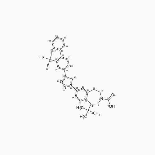 CC(C)(C)C1CN(C(=O)O)CCc2cc(-c3noc(-c4ccc(-c5ccccc5)c(C(F)(F)F)c4)n3)ccc21